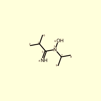 CC(C)C(=N)N(O)C(C)C